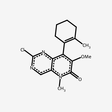 COc1c(C2=C(C)CCCC2)c2nc(Cl)ncc2n(C)c1=O